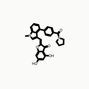 Cn1cc(/C=C2\Oc3cc(O)cc(O)c3C2=O)c2c(-c3ccc(C(=O)N4CCCC4)cc3)cccc21